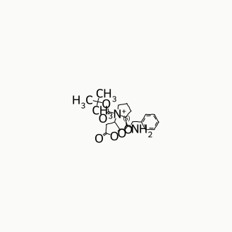 CC(C)(C)OC(=O)[N+]1(C2CC(=O)OC2OCc2ccccc2)CCC[C@H]1C(N)=O